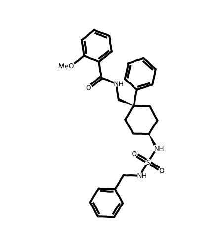 COc1ccccc1C(=O)NC[C@]1(c2ccccc2)CC[C@H](NS(=O)(=O)NCc2ccccc2)CC1